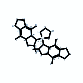 CC1=C2CCCC2=C(C)C2C1CC(C)C2[Si]1(C2C(C)CC3C(C)=C4CCCC4=C(C)C32)CCCC1